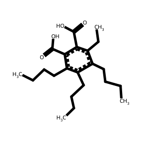 CCCCc1c(CCCC)c(CCCC)c(C(=O)O)c(C(=O)O)c1CC